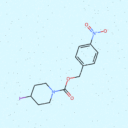 O=C(OCc1ccc([N+](=O)[O-])cc1)N1CCC(I)CC1